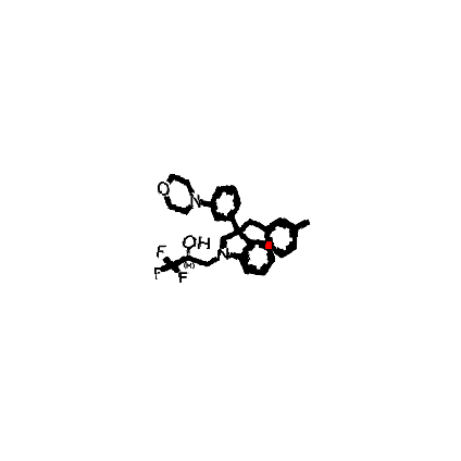 Cc1cccc(CC2(c3cccc(N4CCOCC4)c3)CN(C[C@@H](O)C(F)(F)F)c3ccccc32)c1